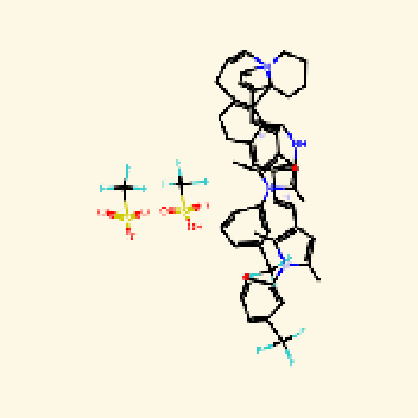 Cc1cc(/C=C/C2=CNC=C3C(=C2)CCC2=C3C34CCCC[N+]3(C=CC=C4/C=C/c3cc(C)n(-c4cccc(C(F)(F)F)c4)c3C)C=CC2)c(C)n1-c1cccc(C(F)(F)F)c1.O=S(=O)(O)C(F)(F)F.O=S(=O)([O-])C(F)(F)F